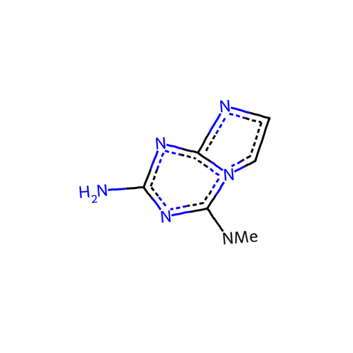 CNc1nc(N)nc2nccn12